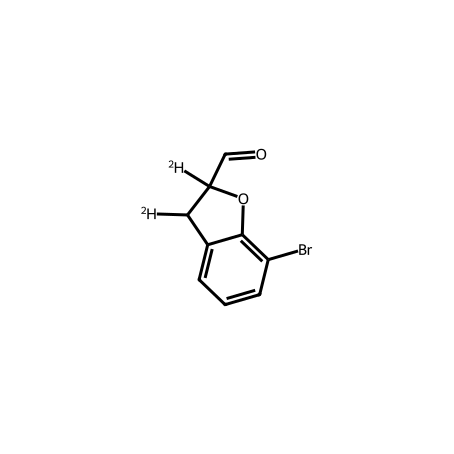 [2H]C1c2cccc(Br)c2OC1([2H])C=O